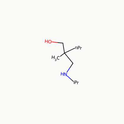 CCCC(C)(CO)CNC(C)C